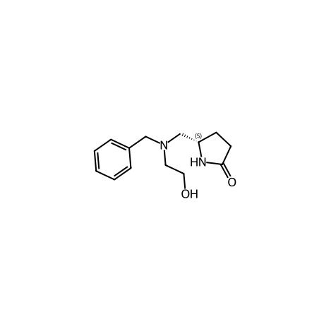 O=C1CC[C@@H](CN(CCO)Cc2ccccc2)N1